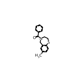 Cc1ccc2c(c1)CN(C(=O)c1ccccc1)CCS2